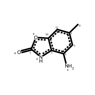 Cc1cc(N)c2[nH]c(=O)oc2c1